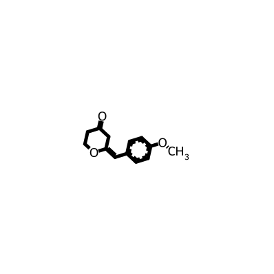 COc1ccc(/C=C2\CC(=O)CCO2)cc1